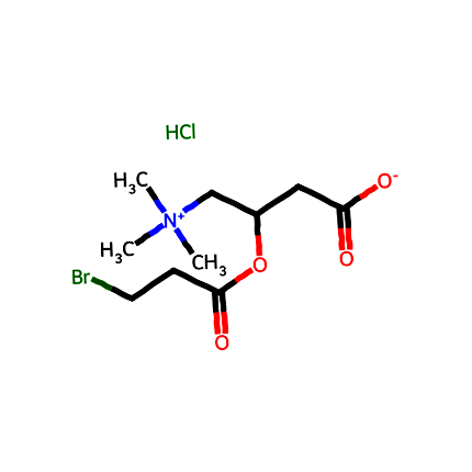 C[N+](C)(C)CC(CC(=O)[O-])OC(=O)CCBr.Cl